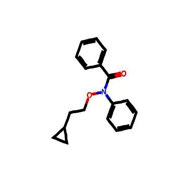 O=C(c1ccccc1)N(OCCC1CC1)c1ccccc1